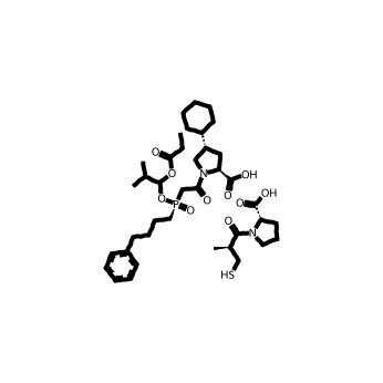 CCC(=O)OC(O[P@](=O)(CCCCc1ccccc1)CC(=O)N1C[C@H](C2CCCCC2)C[C@H]1C(=O)O)C(C)C.C[C@H](CS)C(=O)N1CCC[C@H]1C(=O)O